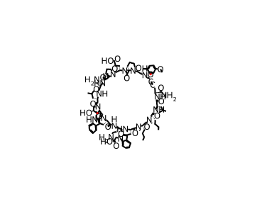 CCCC[C@H]1C(=O)N(C)[C@@H](CCCC)C(=O)N[C@@H](CC(C)C)C(=O)N[C@H](C(N)=O)CCCC(=O)N[C@@H](Cc2ccc(OC)cc2)C(=O)N2CCCC[C@@]23C(=O)N3[C@@H](CCC(=O)O)C(=O)N2CCC[C@H]2C(=O)N[C@@H](CN)C(=O)N[C@@H](CC(C)C)C(=O)N2C[C@H](O)C[C@H]2C(=O)N[C@@H](Cc2c[nH]c3ccccc23)C(=O)N[C@@H](CCN)C(=O)N[C@@H](Cc2cn(CC(=O)O)c3ccccc23)C(=O)N1C